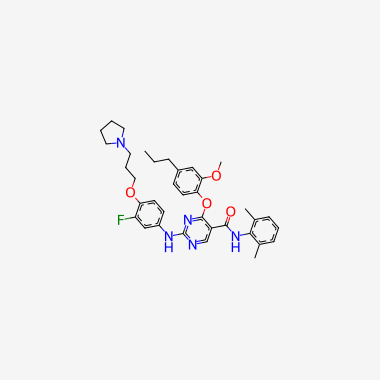 CCCc1ccc(Oc2nc(Nc3ccc(OCCCN4CCCC4)c(F)c3)ncc2C(=O)Nc2c(C)cccc2C)c(OC)c1